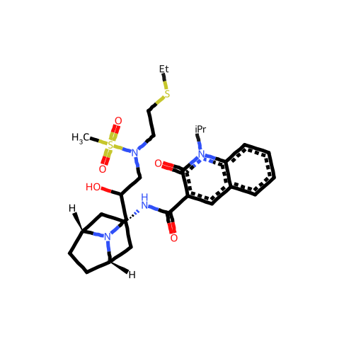 CCSCCN(CC(O)CN1[C@@H]2CC[C@H]1C[C@@H](NC(=O)c1cc3ccccc3n(C(C)C)c1=O)C2)S(C)(=O)=O